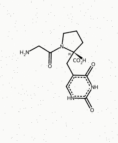 NCC(=O)N1CCC[C@@]1(Cc1c[nH]c(=O)[nH]c1=O)C(=O)O